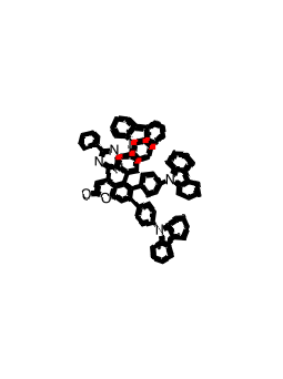 O=c1cc(-c2nc(-c3ccccc3)nc(-c3ccccc3)n2)c2c(-c3ccc(-n4c5ccccc5c5ccccc54)cc3)c(-c3ccc(-n4c5ccccc5c5ccccc54)cc3)c(-c3ccc(-n4c5ccccc5c5ccccc54)cc3)cc2o1